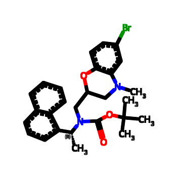 C[C@H](c1cccc2ccccc12)N(CC1CN(C)c2cc(Br)ccc2O1)C(=O)OC(C)(C)C